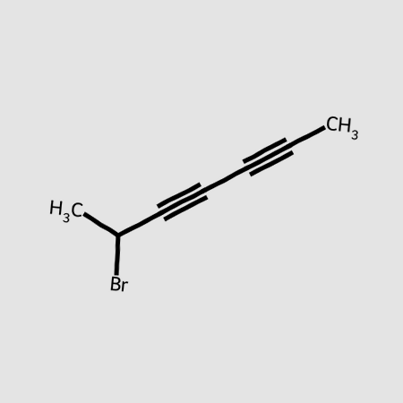 CC#CC#CC(C)Br